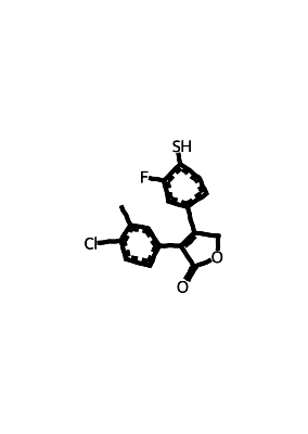 Cc1cc(C2=C(c3ccc(S)c(F)c3)COC2=O)ccc1Cl